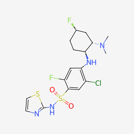 CN(C)[C@H]1C[C@H](F)CC[C@@H]1Nc1cc(F)c(S(=O)(=O)Nc2nccs2)cc1Cl